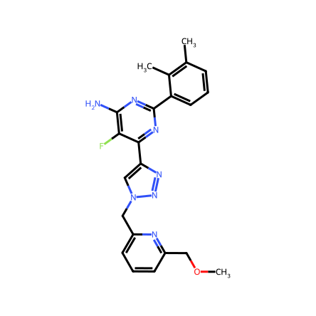 COCc1cccc(Cn2cc(-c3nc(-c4cccc(C)c4C)nc(N)c3F)nn2)n1